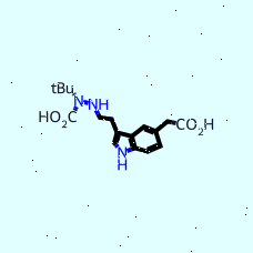 CC(C)(C)N(NCCc1c[nH]c2ccc(CC(=O)O)cc12)C(=O)O